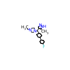 CCN1CCN(C(c2ccc(-c3ccc(F)cc3)cc2)c2cn[nH]c2C)CC1